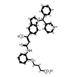 CC(=CC(=O)Nc1ccccc1OCCCC(=O)O)c1ccc2c(ccn2C(c2ccccc2)c2cccnc2)c1